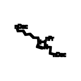 CCCCCCCCCCCCCCCCN1C=CN(CCCCCCCCCCCC)C1CCC